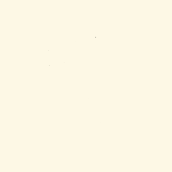 O=C(O)c1ccc(C(=O)Oc2ccc(C3(c4ccc(O)cc4)CC4CCC3C4)cc2)cc1